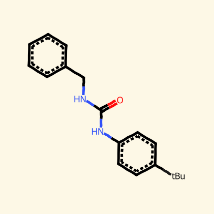 CC(C)(C)c1ccc(NC(=O)NCc2ccccc2)cc1